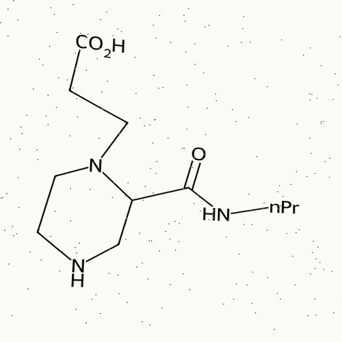 CCCNC(=O)C1CNCCN1CCC(=O)O